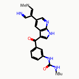 CCCCNC(=O)Nc1cccc(C(=O)c2c[nH]c3ncc(/C(C=N)=C/NC)cc23)c1